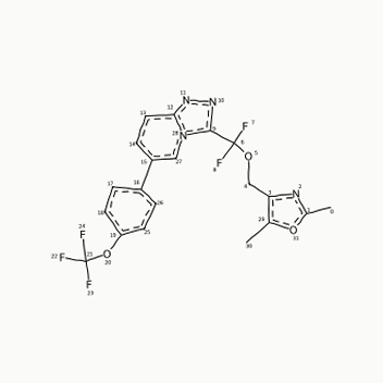 Cc1nc(COC(F)(F)c2nnc3ccc(-c4ccc(OC(F)(F)F)cc4)cn23)c(C)o1